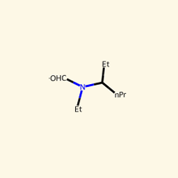 CCCC(CC)N([C]=O)CC